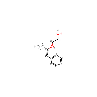 O=C(O)C(=Cc1ccccc1)OCCO